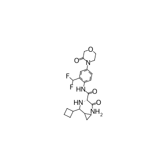 NC(=O)[C@H](NC(C1CCC1)C1CC1)C(=O)Nc1ccc(N2CCOCC2=O)cc1C(F)F